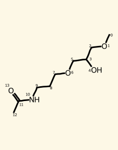 COCC(O)COCCCNC(C)=O